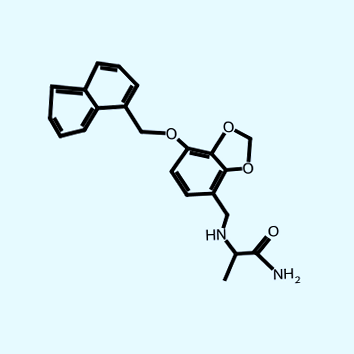 CC(NCc1ccc(OCc2cccc3ccccc23)c2c1OCO2)C(N)=O